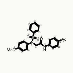 COc1ccc(N(CC(=O)Nc2ccc(C(C)=O)cc2)S(=O)(=O)c2ccccc2)cc1